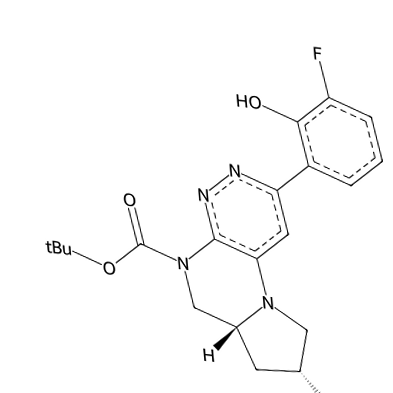 CC(C)(C)OC(=O)N1C[C@H]2C[C@@H](C#N)CN2c2cc(-c3cccc(F)c3O)nnc21